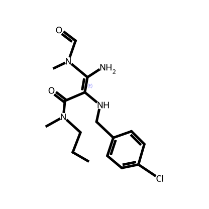 CCCN(C)C(=O)/C(NCc1ccc(Cl)cc1)=C(/N)N(C)C=O